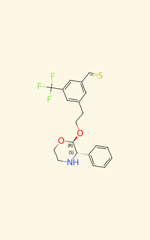 FC(F)(F)c1cc(C=S)cc(CCO[C@@H]2OCCN[C@H]2c2ccccc2)c1